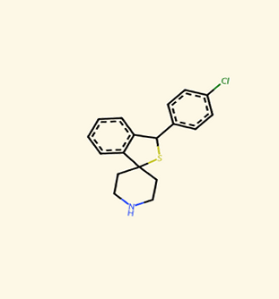 Clc1ccc(C2SC3(CCNCC3)c3ccccc32)cc1